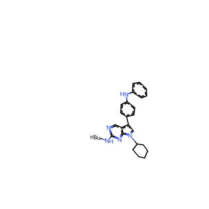 CCCCNc1ncc2c(-c3ccc(Nc4ccccc4)cc3)cn(C3CCCCC3)c2n1